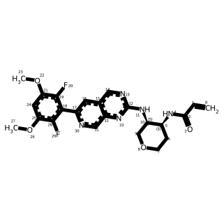 C=CC(=O)N[C@H]1CCOC[C@H]1Nc1ncc2cc(-c3c(F)c(OC)cc(OC)c3F)ncc2n1